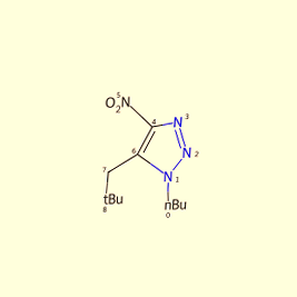 CCCCn1nnc([N+](=O)[O-])c1CC(C)(C)C